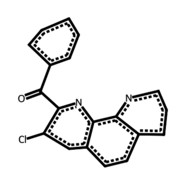 O=C(c1ccccc1)c1nc2c(ccc3cccnc32)cc1Cl